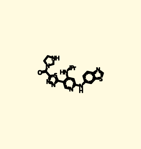 CC(C)Nc1cc(Nc2ccc3ncsc3c2)ncc1-c1nnc(C(=O)N2CCNC2)s1